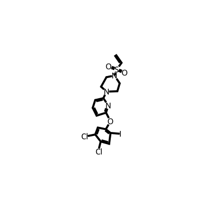 C=CS(=O)(=O)N1CCN(c2cccc(Oc3cc(Cl)c(Cl)cc3I)n2)CC1